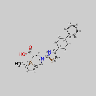 Cc1ccc(CN(CCC(=O)O)c2nc(C3CCC(c4ccccc4)CC3)cs2)s1